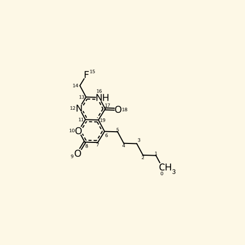 CCCCCCc1cc(=O)oc2nc(CF)[nH]c(=O)c12